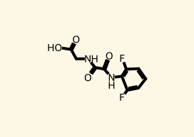 O=C(O)CNC(=O)C(=O)Nc1c(F)cccc1F